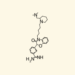 CN(C)CC1CCCCN1CCCCCN1C(=O)C(c2cccc(C(=N)N)c2)Oc2ccccc21